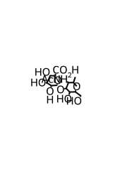 CC(=O)NC1C(C)OC(CO)C(O)C1OC1OC(C(=O)O)C(O)C(O)C1O